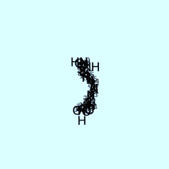 C[C@@H]1CNc2c(sc3ccc4nc(N5CCC(CN6CC7(C6)CN(c6ccc8c(c6)n(C)c(=O)n8C6CCC(=O)NC6=O)C7)CC5)ccc4c23)C(=O)N1